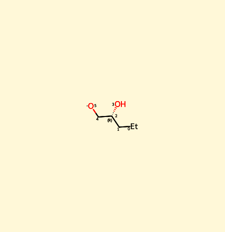 CCC[C@@H](O)C[O]